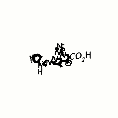 Cc1cc(N2CC(Nc3cccnc3)C2)nc2c1C(=O)C(C(=O)O)CN2c1ncns1